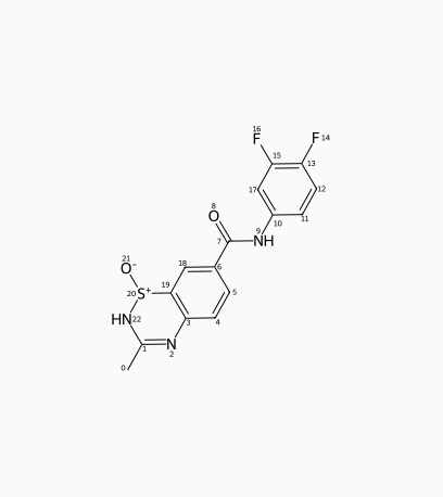 CC1=Nc2ccc(C(=O)Nc3ccc(F)c(F)c3)cc2[S+]([O-])N1